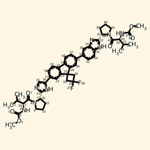 COC(=O)N[C@H](C(=O)N1CCC[C@H]1c1ncc(-c2ccc3c(c2)C2(CC(F)(F)C2)c2cc(-c4ccc5[nH]c([C@@H]6CCCN6C(=O)[C@@H](NC(=O)OC)C(C)C)nc5c4)ccc2-3)[nH]1)C(C)C